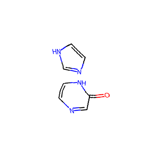 O=c1cncc[nH]1.c1c[nH]cn1